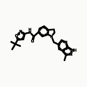 Cc1n[nH]c2ncc(CN3CCc4ccc(C(=O)Nc5cc(C(C)(C)C)on5)cc43)cc12